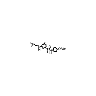 COc1ccc(NC(=O)Nc2nc(C)cc(NCCCN(C)C)n2)cc1